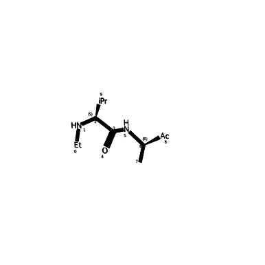 CCN[C@H](C(=O)N[C@H](C)C(C)=O)C(C)C